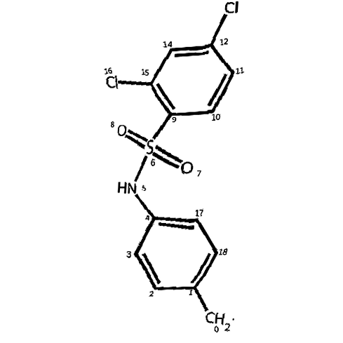 [CH2]c1ccc(NS(=O)(=O)c2ccc(Cl)cc2Cl)cc1